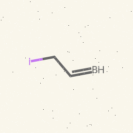 B=CCI